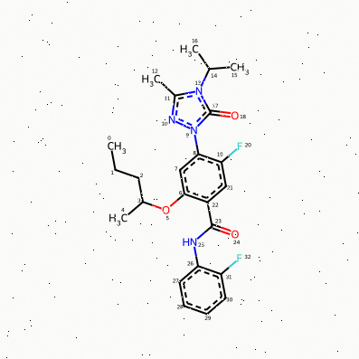 CCCC(C)Oc1cc(-n2nc(C)n(C(C)C)c2=O)c(F)cc1C(=O)Nc1ccccc1F